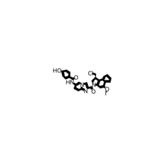 O=C(Nc1ccc2nc(C(=O)N3C[C@@H](CCl)c4c3cc(OI)c3ccccc43)cn2c1)c1ccc(O)cc1